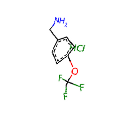 Cl.NCc1ccc(OC(F)(F)F)cc1